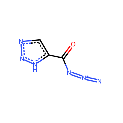 [N-]=[N+]=NC(=O)c1cnn[nH]1